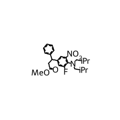 COC(=O)CC(c1ccccc1)c1cc(F)c(N(CC(C)C)CC(C)C)c([N+](=O)[O-])c1